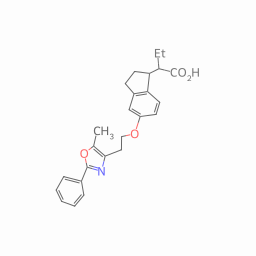 CCC(C(=O)O)C1CCc2cc(OCCc3nc(-c4ccccc4)oc3C)ccc21